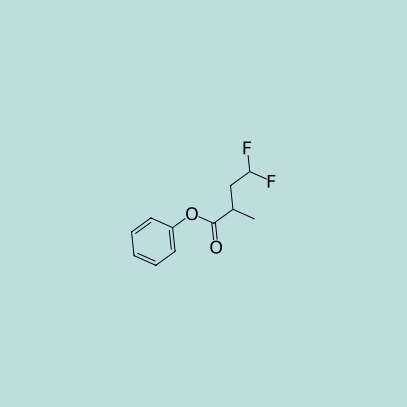 CC(CC(F)F)C(=O)Oc1ccccc1